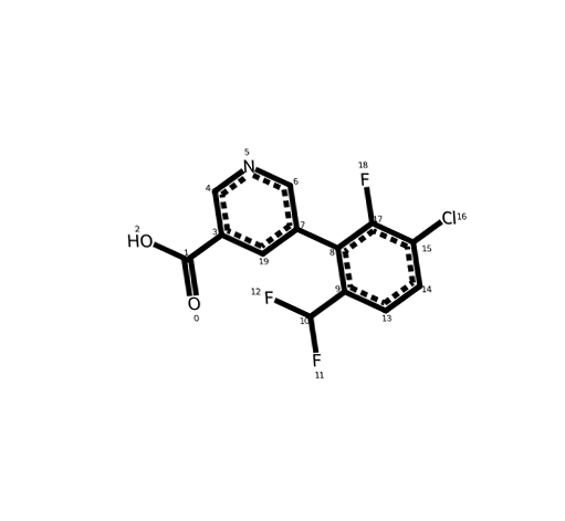 O=C(O)c1cncc(-c2c(C(F)F)ccc(Cl)c2F)c1